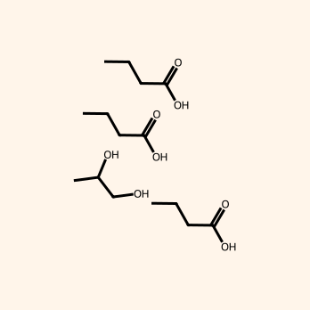 CC(O)CO.CCCC(=O)O.CCCC(=O)O.CCCC(=O)O